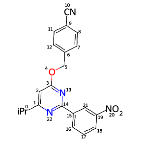 CC(C)c1cc(OCc2ccc(C#N)cc2)nc(-c2cccc([N+](=O)[O-])c2)n1